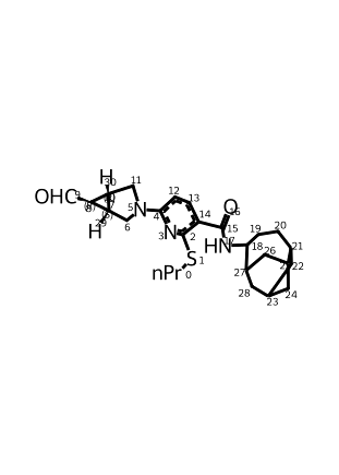 CCCSc1nc(N2C[C@@H]3[C@@H](C=O)[C@@H]3C2)ccc1C(=O)NC1CCC2CC3CC2CC1C3